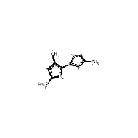 Cc1csc(-c2sc(C(=O)O)cc2C)c1